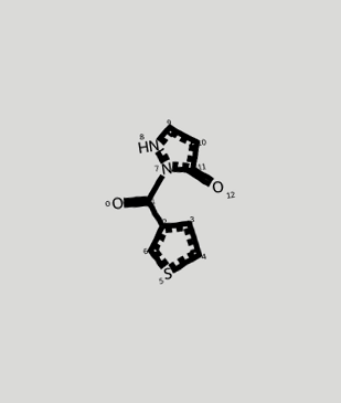 O=C(c1ccsc1)n1[nH]ccc1=O